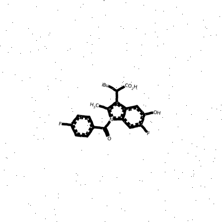 CCC(C)C(C(=O)O)c1c(C)n(C(=O)c2ccc(F)cc2)c2cc(F)c(O)cc12